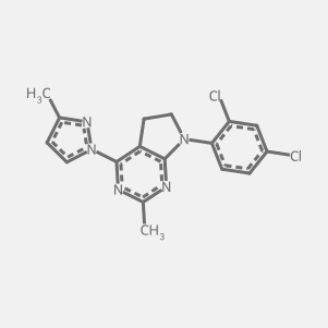 Cc1ccn(-c2nc(C)nc3c2CCN3c2ccc(Cl)cc2Cl)n1